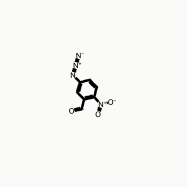 [N-]=[N+]=Nc1ccc([N+](=O)[O-])c([C]=O)c1